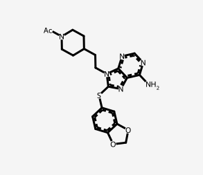 CC(=O)N1CCC(CCn2c(Sc3ccc4c(c3)OCO4)nc3c(N)ncnc32)CC1